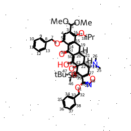 COC(OC)c1cc(OCc2ccccc2)c2c(c1OC(C)C)C[C@H]1C[C@H]3[C@H](N(C)C)c4onc(OCc5ccccc5)c4C(=O)C3(O[Si](C)(C)C(C)(C)C)C(O)=C1C2=O